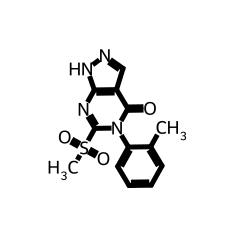 Cc1ccccc1-n1c(S(C)(=O)=O)nc2[nH]ncc2c1=O